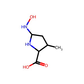 CC1CC(NO)NC1C(=O)O